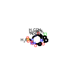 CC(C)(C)[Si](C)(C)O[C@H]1/C=C/CCN(CCS(C)(=O)=O)S(=O)(=O)NC(=O)c2ccc3c(c2)N(C[C@@H]2CC[C@H]21)C[C@@]1(CCCc2cc(Cl)ccc21)CO3